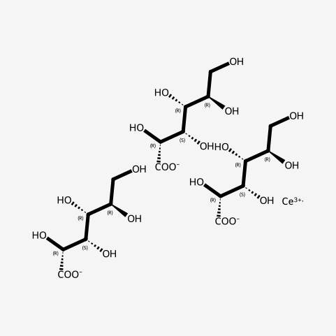 O=C([O-])[C@H](O)[C@@H](O)[C@H](O)[C@H](O)CO.O=C([O-])[C@H](O)[C@@H](O)[C@H](O)[C@H](O)CO.O=C([O-])[C@H](O)[C@@H](O)[C@H](O)[C@H](O)CO.[Ce+3]